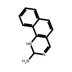 NC1N=Cc2ccc3ccccc3c2N1